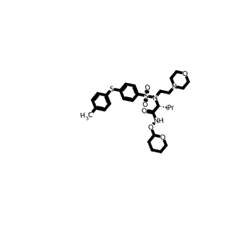 Cc1ccc(Sc2ccc(S(=O)(=O)N(CCN3CCOCC3)[C@@H](C(=O)NOC3CCCCO3)C(C)C)cc2)cc1